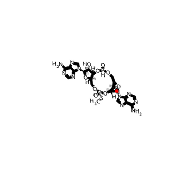 CS[P@]1(=O)OC[C@H]2O[C@@H](n3cnc4c(N)ncnc43)[C@H](O)[C@@H]2O[PH](=O)OCC2O[C@@H](n3cnc4c(N)ncnc43)[C@H](O1)[C@@H]2F